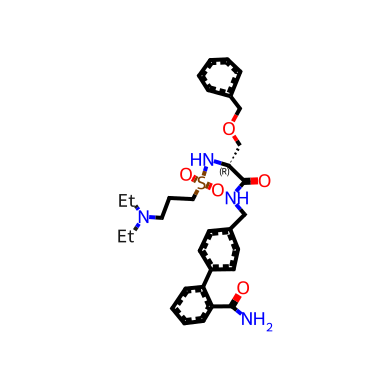 CCN(CC)CCCS(=O)(=O)N[C@H](COCc1ccccc1)C(=O)NCc1ccc(-c2ccccc2C(N)=O)cc1